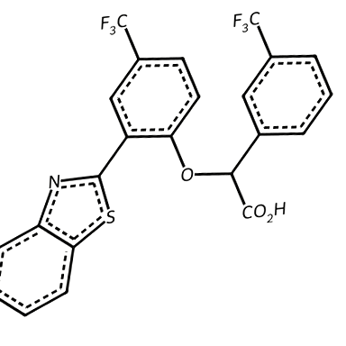 O=C(O)C(Oc1ccc(C(F)(F)F)cc1-c1nc2ccccc2s1)c1cccc(C(F)(F)F)c1